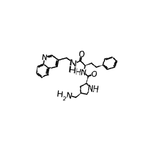 NC[C@@H]1CN[C@H](C(=O)N[C@H](CCc2ccccc2)C(=O)NCc2cnc3ccccc3c2)C1